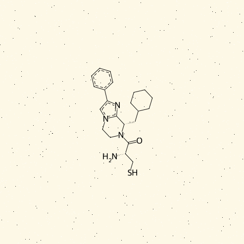 N[C@@H](CS)C(=O)N1CCn2cc(-c3ccccc3)nc2[C@@H]1CC1CCCCC1